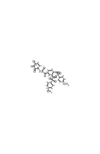 Cc1ccc(S(=O)(=O)Nc2ccc(NC(=O)Cn3ccc(=O)[nH]c3=O)cc2NS(=O)(=O)c2ccc(C)cc2)cc1